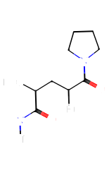 CCC(CC(C)C(=O)NC(C)C)C(=O)N1CCCC1